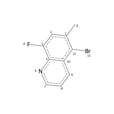 Cc1cc(F)c2ncccc2c1Br